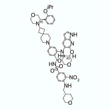 CC(C)Oc1ccccc1[C@@H]1COCCN1C1CC2(CCN(c3ccc(C(=O)NS(=O)(=O)c4ccc(NCC5CCOCC5)c([N+](=O)[O-])c4)c(N4c5cc6cc[nH]c6nc5O[C@H]5COCC[C@@H]54)c3)CC2)C1